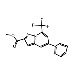 COC(=O)c1cc2cc(-c3ccccc3)cc(C(F)(F)F)n2n1